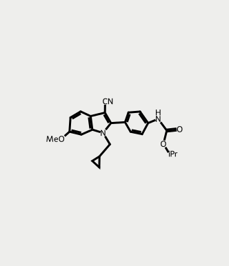 COc1ccc2c(C#N)c(-c3ccc(NC(=O)OC(C)C)cc3)n(CC3CC3)c2c1